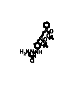 CC(C)(C)OC(=O)N(CCCN(C(=O)OC(C)(C)C)C1CCCCC1)CC1CCC(Nc2nc(N)cc(Cl)n2)CC1